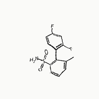 Cc1cc[c]c(S(N)(=O)=O)c1-c1ccc(F)cc1F